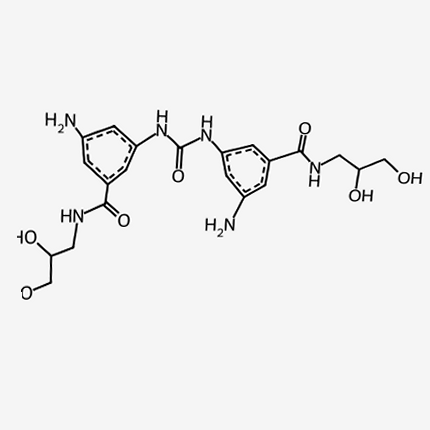 Nc1cc(NC(=O)Nc2cc(N)cc(C(=O)NCC(O)CO)c2)cc(C(=O)NCC(O)CO)c1